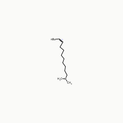 CCCC/C=C\CCCCCCCCN(C)C